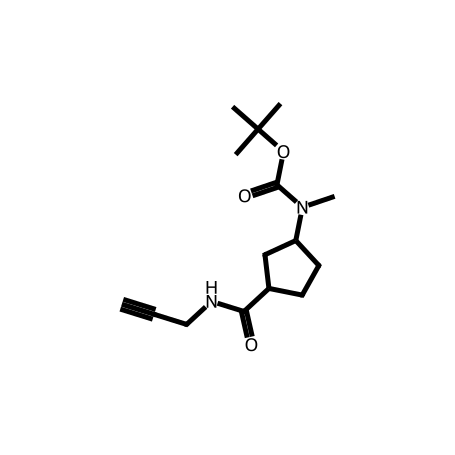 C#CCNC(=O)C1CCC(N(C)C(=O)OC(C)(C)C)C1